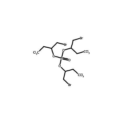 O=P(OC(CBr)CC(Cl)(Cl)Cl)(OC(CBr)CC(Cl)(Cl)Cl)OC(CBr)CC(Cl)(Cl)Cl